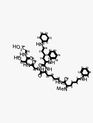 CNC(CCCCNc1ccccc1)C(=O)NCCCCC(NC(=O)C(CCCCNC1CCCCC1)Nc1ccccc1)C(=O)NCC(=O)NC(CO)C(=O)NCC(=O)O